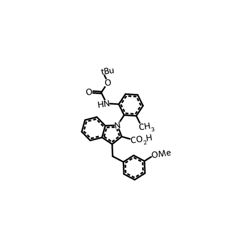 COc1cccc(Cc2c(C(=O)O)n(-c3c(C)cccc3NC(=O)OC(C)(C)C)c3ccccc23)c1